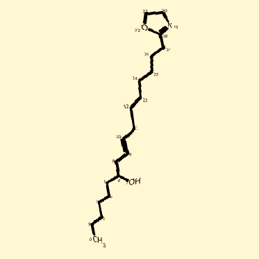 CCCCCCC(O)C/C=C/CCCCCCCC1=NCCO1